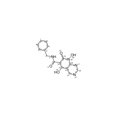 O=C(NCc1ccccc1)c1c(O)c2cncnc2n(O)c1=O